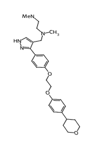 CNCCN(C)Cc1c[nH]nc1-c1ccc(OCCOc2ccc(C3CCOCC3)cc2)cc1